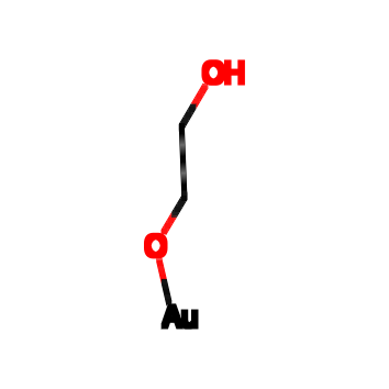 OCC[O][Au]